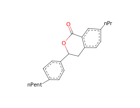 CCCCCc1ccc(C2Cc3ccc(CCC)cc3C(=O)O2)cc1